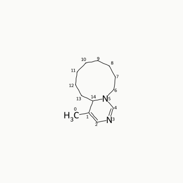 CC1=CN=CN2CCCCCCCCC12